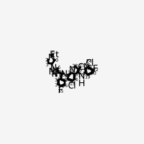 CCN1CC[C@@H](n2cc(C(Nc3cc(Cl)cc4c(Nc5ccc(F)c(Cl)c5)c(C#N)cnc34)c3ccc(F)cc3)nn2)C1